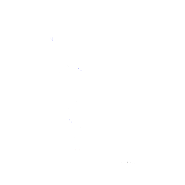 COc1ccc(OC2CN(C(=O)c3ccc(C)c(NC(=O)c4ccc(Cl)nc4)c3)C2)cc1